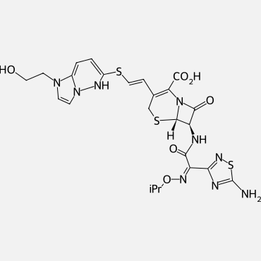 CC(C)O/N=C(\C(=O)N[C@@H]1C(=O)N2C(C(=O)O)=C(/C=C/SC3=CC=C4N(CCO)C=CN4N3)CS[C@@H]12)c1nsc(N)n1